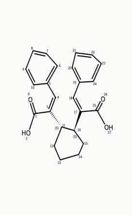 O=C(O)C(=Cc1ccccc1)[C@H]1CCCC[C@@H]1C(=Cc1ccccc1)C(=O)O